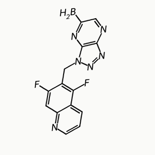 Bc1cnc2nnn(Cc3c(F)cc4ncccc4c3F)c2n1